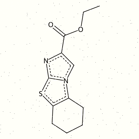 CCOC(=O)c1cn2c3c(sc2n1)CCCC3